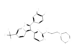 Fc1ccc(-c2nn3cc(C(F)(F)F)ccc3c2-c2ccnc(NCCN3CCOCC3)n2)cc1Cl